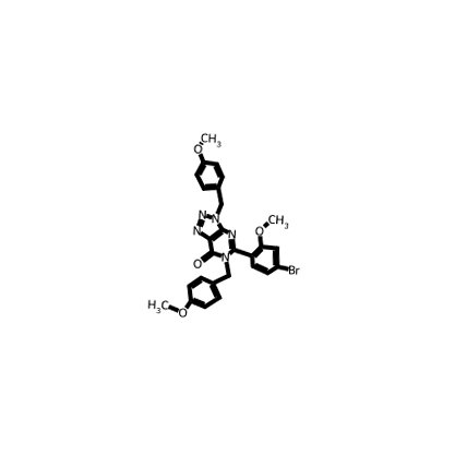 COc1ccc(Cn2c(-c3ccc(Br)cc3OC)nc3c(nnn3Cc3ccc(OC)cc3)c2=O)cc1